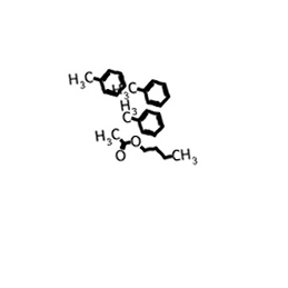 CCCCOC(C)=O.Cc1ccccc1.Cc1ccccc1.Cc1ccccc1